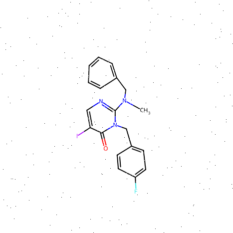 CN(Cc1ccccc1)c1ncc(I)c(=O)n1Cc1ccc(F)cc1